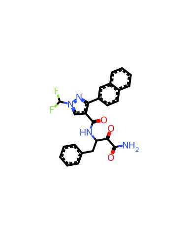 NC(=O)C(=O)C(Cc1ccccc1)NC(=O)c1cn(C(F)F)nc1-c1ccc2ccccc2c1